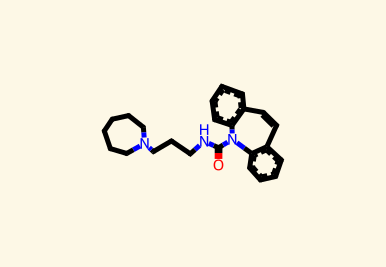 O=C(NCCCN1CCCCCC1)N1c2ccccc2C=Cc2ccccc21